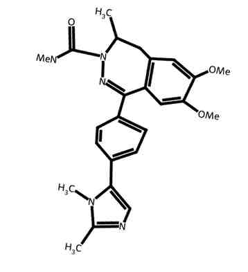 CNC(=O)N1N=C(c2ccc(-c3cnc(C)n3C)cc2)c2cc(OC)c(OC)cc2CC1C